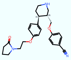 N#Cc1ccc(OC[C@H]2CNCC[C@@H]2c2ccc(OCCN3CCCC3=O)cc2)cc1